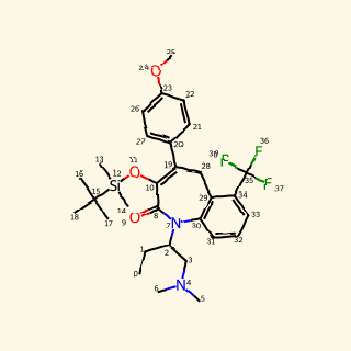 CCC(CN(C)C)N1C(=O)C(O[Si](C)(C)C(C)(C)C)=C(c2ccc(OC)cc2)Cc2c1cccc2C(F)(F)F